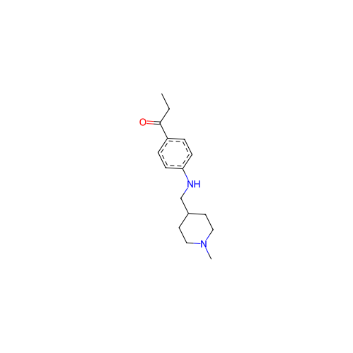 CCC(=O)c1ccc(NCC2CCN(C)CC2)cc1